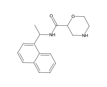 CC(NC(=O)C1CNCCO1)c1cccc2ccccc12